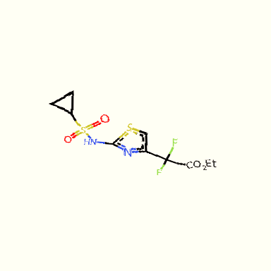 CCOC(=O)C(F)(F)c1csc(NS(=O)(=O)C2CC2)n1